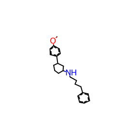 COc1ccc(C2CCCC(NCCCCc3ccccc3)C2)cc1